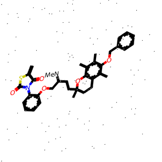 C=C1SC(=O)N(c2ccccc2OCC(CCC2(C)CCc3c(C)c(OCc4ccccc4)c(C)c(C)c3O2)NC)C1=O